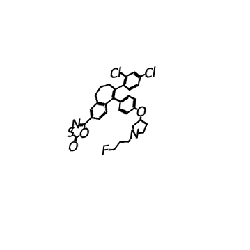 O=c1oc(-c2ccc3c(c2)CCCC(c2ccc(Cl)cc2Cl)=C3c2ccc(OC3CCN(CCCF)C3)cc2)ns1